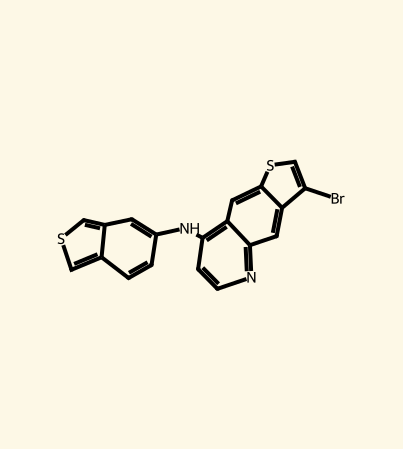 Brc1csc2cc3c(Nc4ccc5cscc5c4)ccnc3cc12